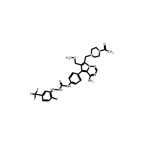 COCc1c(-c2ccc(NC(=O)NNc3cc(C(F)(F)F)ccc3F)cc2)c2c(N)ncnn2c1CN1CCN(C(C)=O)CC1